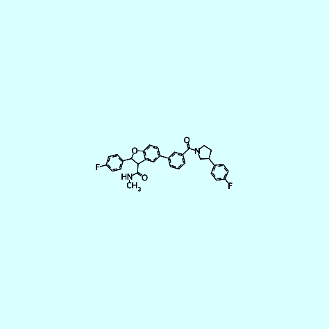 CNC(=O)C1c2cc(-c3cccc(C(=O)N4CCC(c5ccc(F)cc5)C4)c3)ccc2OC1c1ccc(F)cc1